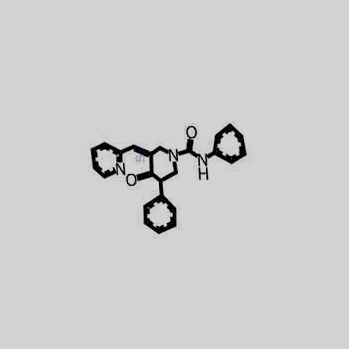 O=C1/C(=C\c2ccccn2)CN(C(=O)Nc2ccccc2)CC1c1ccccc1